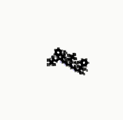 CCC(CC)(CC)C(=O)CN1/C(=C/C=C/C(=C/C=C/C(C)C(C)(C)c2ccccc2C)NC(=O)C(CC)(CC)CC)C(C)(C)c2ccccc21